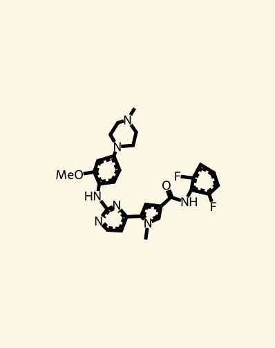 COc1cc(N2CCN(C)CC2)ccc1Nc1nccc(-c2cc(C(=O)Nc3c(F)cccc3F)cn2C)n1